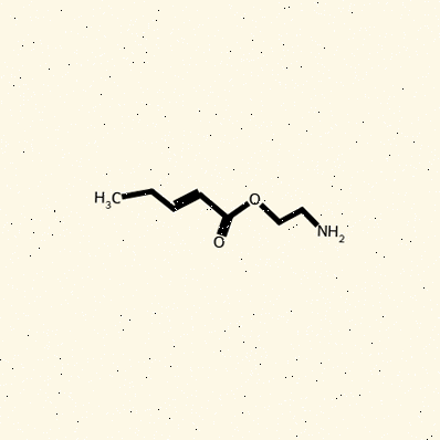 CCC=CC(=O)OCCN